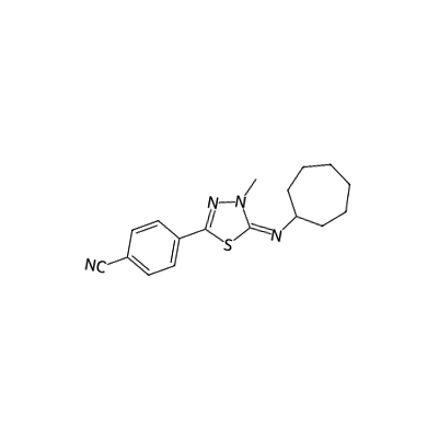 Cn1nc(-c2ccc(C#N)cc2)sc1=NC1CCCCCC1